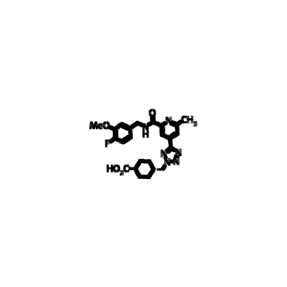 COc1cc(CNC(=O)c2cc(-c3nnn(C[C@H]4CC[C@H](C(=O)O)CC4)n3)cc(C)n2)ccc1F